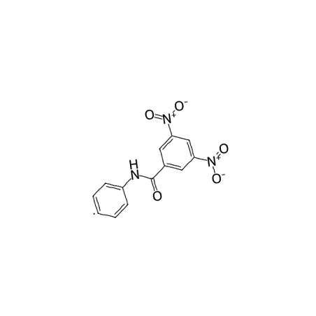 O=C(Nc1cc[c]cc1)c1cc([N+](=O)[O-])cc([N+](=O)[O-])c1